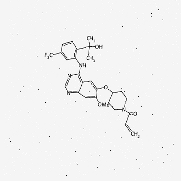 C=CC(=O)N1CCC(Oc2cc3c(Nc4cc(C(F)(F)F)ccc4C(C)(C)O)ncnc3cc2OC)CC1